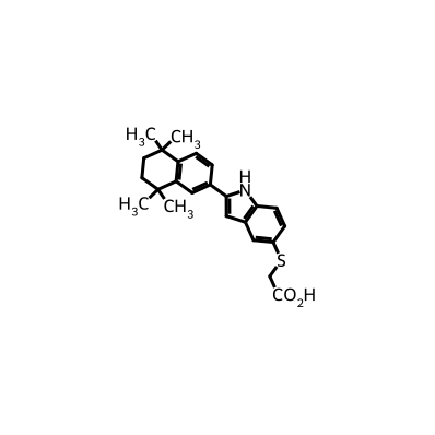 CC1(C)CCC(C)(C)c2cc(-c3cc4cc(SCC(=O)O)ccc4[nH]3)ccc21